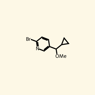 COC(c1ccc(Br)nc1)C1CC1